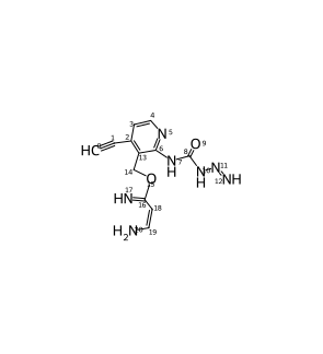 C#Cc1ccnc(NC(=O)NN=N)c1COC(=N)/C=C\N